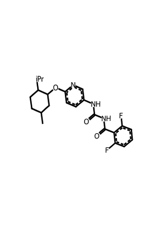 CC1CCC(C(C)C)C(Oc2ccc(NC(=O)NC(=O)c3c(F)cccc3F)cn2)C1